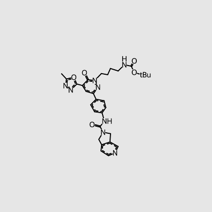 Cc1nnc(-c2cc(-c3ccc(NC(=O)N4Cc5ccncc5C4)cc3)nn(CCCCNC(=O)OC(C)(C)C)c2=O)o1